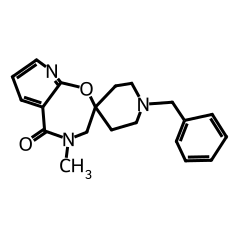 CN1CC2(CCN(Cc3ccccc3)CC2)Oc2ncccc2C1=O